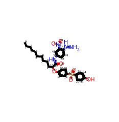 CCCCCCCCCCC(Oc1ccc(S(=O)(=O)c2ccc(O)cc2)cc1)C(=O)Nc1ccc(NN)c([N+](=O)[O-])c1